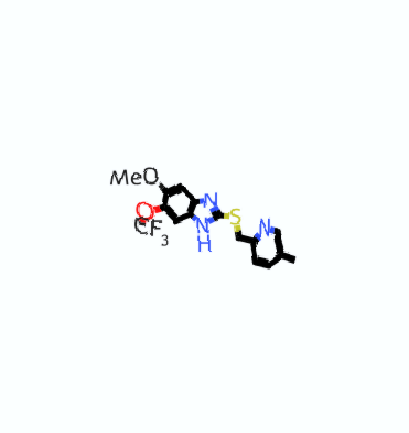 COc1cc2nc(SCc3ccc(C)cn3)[nH]c2cc1OC(F)(F)F